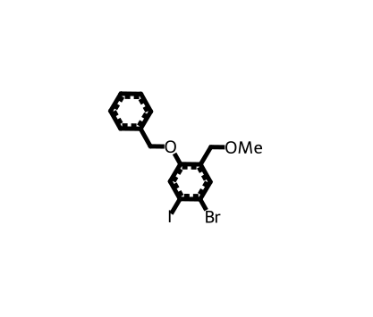 COCc1cc(Br)c(I)cc1OCc1ccccc1